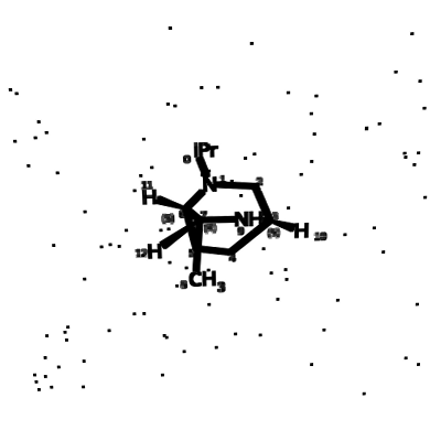 CC(C)N1C[C@@H]2CC[C@H]1[C@@H](C)N2